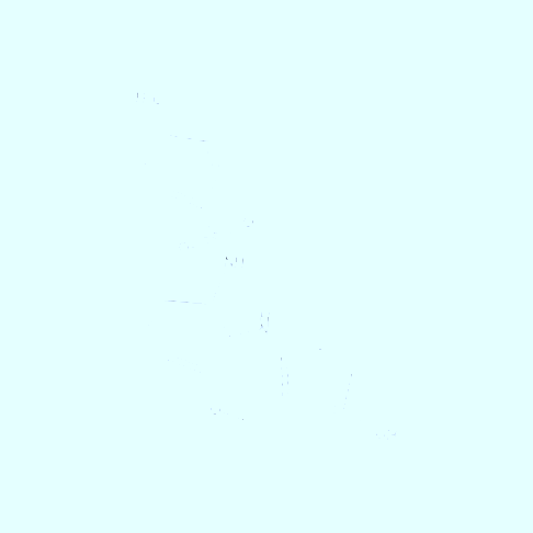 Cc1ccc(S(=O)(=O)Nc2cccc3c2Nc2ccc(O)cc2CO3)cc1